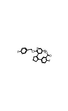 O=C(O)c1cc(C2=C(c3cc(Br)cnc3OCc3ccc(F)cc3)CCC2)ccc1F